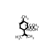 C=C(C)C1CC=C(C)CC1.CO.CO